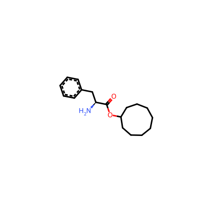 N[C@@H](Cc1ccccc1)C(=O)OC1CCCCCCCC1